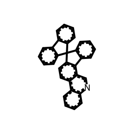 c1ccc2c(c1)-c1ccccc1C21c2ccccc2-c2c1ccc1c2cnc2ccccc21